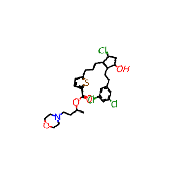 CC(CCN1CCOCC1)OC(=O)c1ccc(CCCC2C(Cl)CC(O)C2CCc2cc(Cl)cc(Cl)c2)s1